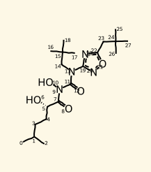 CC(C)CC[C@H](O)C(=O)N(O)C(=O)N(CC(C)(C)C)c1noc(CC(C)(C)C)n1